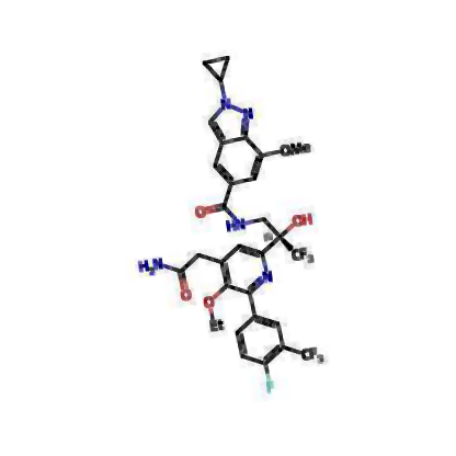 CCOc1c(CC(N)=O)cc([C@@](O)(CNC(=O)c2cc(OC)c3nn(C4CC4)cc3c2)C(F)(F)F)nc1-c1ccc(F)c(C(F)(F)F)c1